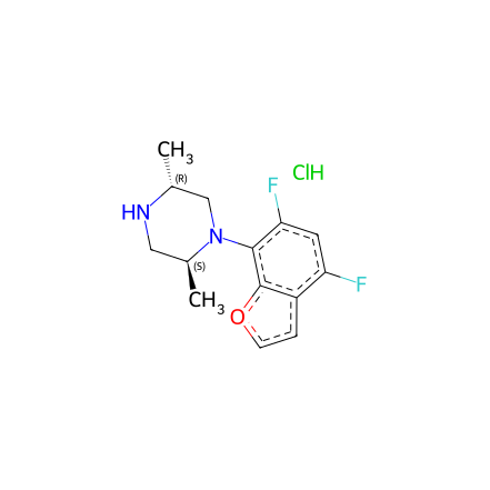 C[C@@H]1CN(c2c(F)cc(F)c3ccoc23)[C@@H](C)CN1.Cl